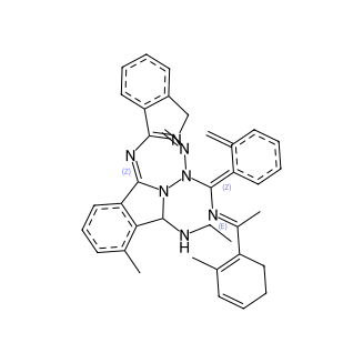 C=NN(C(/N=C(\C)C1=C(C)C=CCC1)=c1/ccccc1=C)N1/C(=N\C2=NCc3ccccc32)c2cccc(C)c2C1NCC